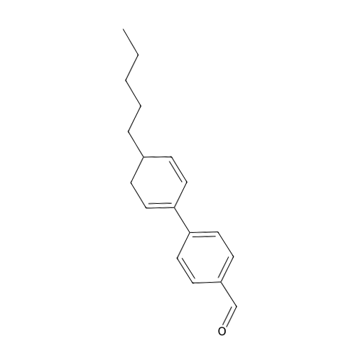 CCCCCC1C=CC(c2ccc(C=O)cc2)=CC1